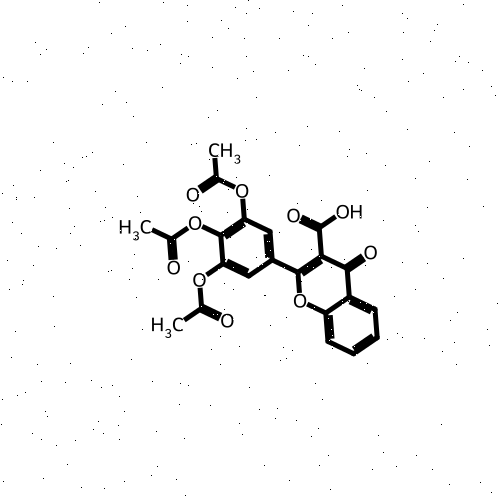 CC(=O)Oc1cc(-c2oc3ccccc3c(=O)c2C(=O)O)cc(OC(C)=O)c1OC(C)=O